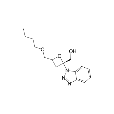 CCCCOCC1C[C@@](CO)(n2nnc3ccccc32)O1